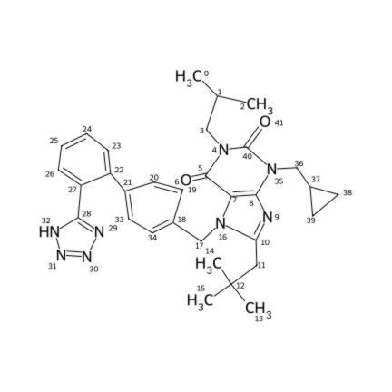 CC(C)Cn1c(=O)c2c(nc(CC(C)(C)C)n2Cc2ccc(-c3ccccc3-c3nnn[nH]3)cc2)n(CC2CC2)c1=O